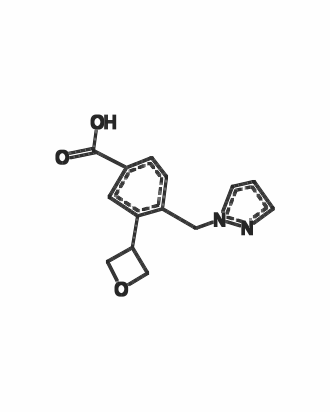 O=C(O)c1ccc(Cn2cccn2)c(C2COC2)c1